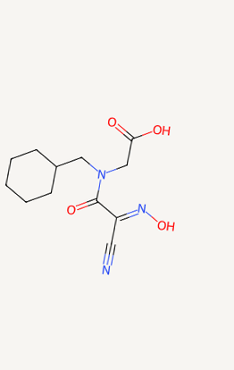 N#CC(=NO)C(=O)N(CC(=O)O)CC1CCCCC1